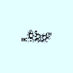 C[C@@H]1C(=O)C(C#N)=C[C@]2(C)[C@H]3CC(=O)C4C5CC(C)(C)CC[C@]5(C(=O)O)CC[C@@]4(C)[C@]3(C)CC[C@@H]12